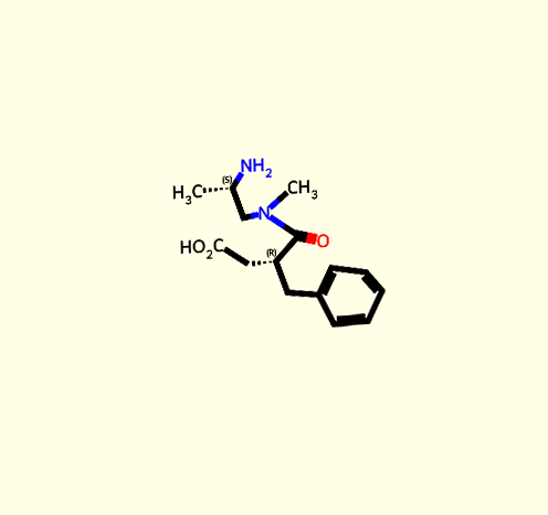 C[C@H](N)CN(C)C(=O)[C@@H](CC(=O)O)Cc1ccccc1